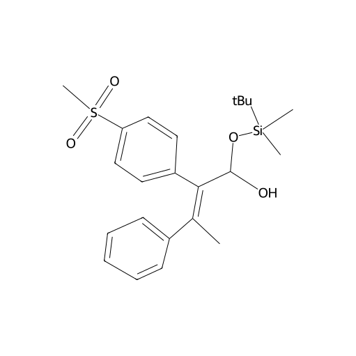 CC(=C(c1ccc(S(C)(=O)=O)cc1)C(O)O[Si](C)(C)C(C)(C)C)c1ccccc1